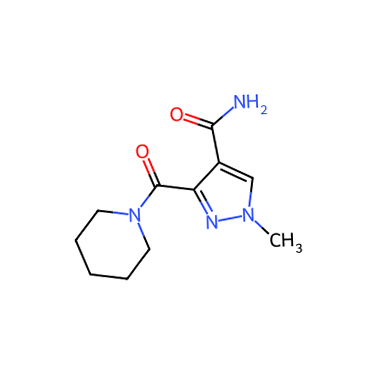 Cn1cc(C(N)=O)c(C(=O)N2CCCCC2)n1